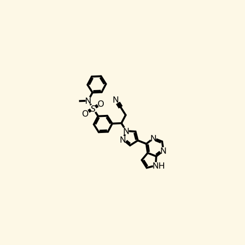 CN(c1ccccc1)S(=O)(=O)c1cccc(C(CC#N)n2cc(-c3ncnc4[nH]ccc34)cn2)c1